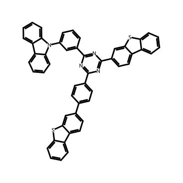 c1cc(-c2nc(-c3ccc(-c4ccc5c(c4)sc4ccccc45)cc3)nc(-c3ccc4c(c3)sc3ccccc34)n2)cc(-n2c3ccccc3c3ccccc32)c1